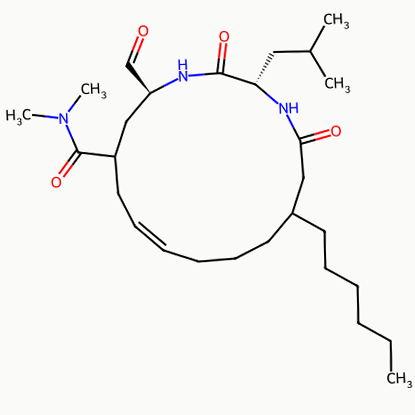 CCCCCCC1CCC/C=C\CC(C(=O)N(C)C)C[C@@H](C=O)NC(=O)[C@H](CC(C)C)NC(=O)C1